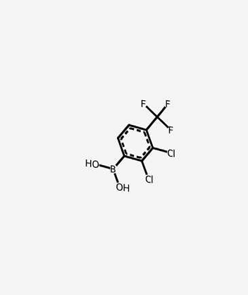 OB(O)c1ccc(C(F)(F)F)c(Cl)c1Cl